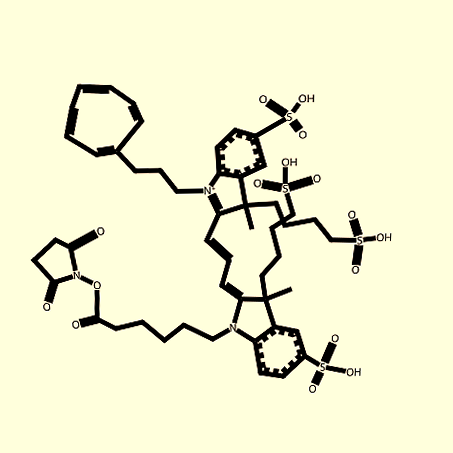 CC1(CCCCS(=O)(=O)O)C(/C=C/C=C2/N(CCCCCC(=O)ON3C(=O)CCC3=O)c3ccc(S(=O)(=O)O)cc3C2(C)CCCCS(=O)(=O)O)=[N+](CCCC2=C/C=C\C=C/C=C\2)c2ccc(S(=O)(=O)O)cc21